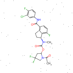 CC(=O)N1CC(F)(F)CC1OC(=O)N(C)[C@H]1CCc2c(C(=O)Nc3ccc(F)c(Cl)c3)ccc(F)c21